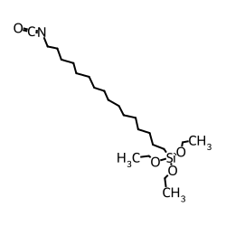 CCO[Si](CCCCCCCCCCCCCCCCN=C=O)(OCC)OCC